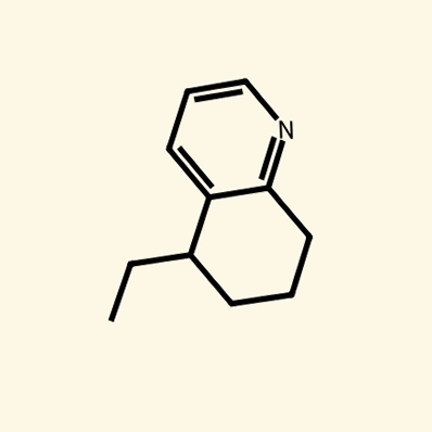 CCC1CCCc2ncccc21